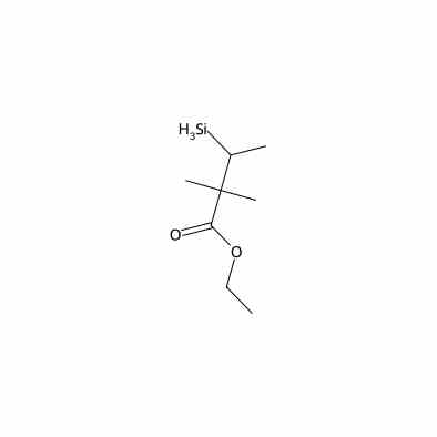 CCOC(=O)C(C)(C)C(C)[SiH3]